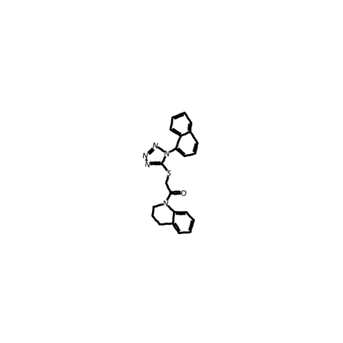 O=C(CSc1nnnn1-c1cccc2ccccc12)N1CCCc2ccccc21